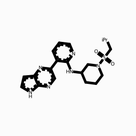 CC(C)CS(=O)(=O)N1CCCC(Nc2ncccc2-c2cnc3[nH]ccc3n2)C1